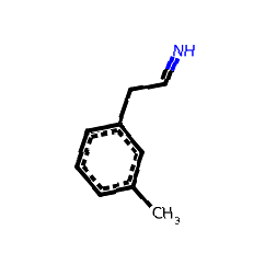 Cc1cccc(CC=N)c1